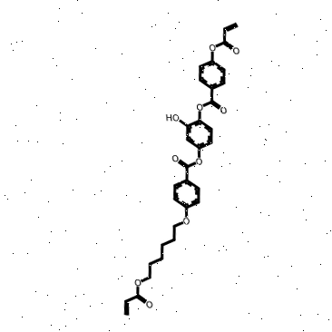 C=CC(=O)OCCCCCCOc1ccc(C(=O)Oc2ccc(OC(=O)c3ccc(OC(=O)C=C)cc3)c(O)c2)cc1